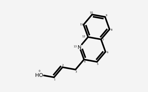 OC=CCc1ccc2ccccc2n1